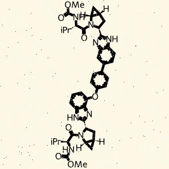 COC(=O)N[C@H](C(=O)N1[C@@H]2C[C@@H]2C[C@H]1c1nc2cc(-c3ccc(Oc4cccc5[nH]c([C@@H]6C[C@H]7C[C@H]7N6C(=O)[C@@H](NC(=O)OC)C(C)C)nc45)cc3)ccc2[nH]1)C(C)C